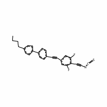 CCCCc1ccc(-c2ccc(C#Cc3cc(F)c(C#CN=C=S)c(F)c3)cc2)cc1